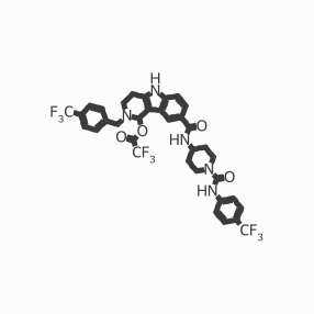 O=C(NC1CCN(C(=O)Nc2ccc(C(F)(F)F)cc2)CC1)c1ccc2[nH]c3c(c2c1)C(OC(=O)C(F)(F)F)N(Cc1ccc(C(F)(F)F)cc1)CC3